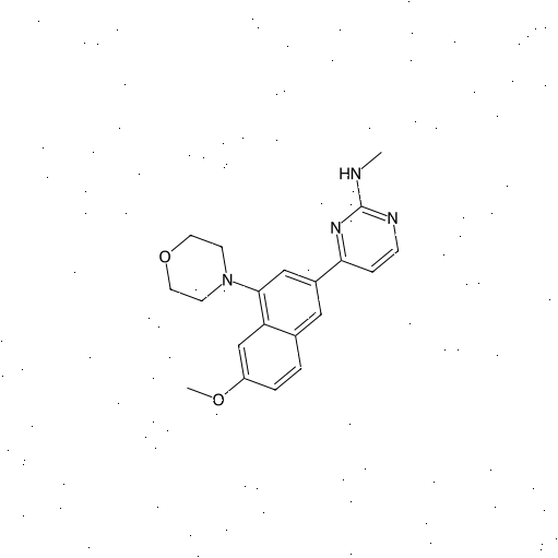 CNc1nccc(-c2cc(N3CCOCC3)c3cc(OC)ccc3c2)n1